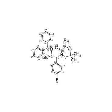 CC1(C)CN([C@H](c2ccc(F)cc2)C(O[SiH](c2ccccc2)c2ccccc2)C(C)(C)C)C(=O)C(O)O1